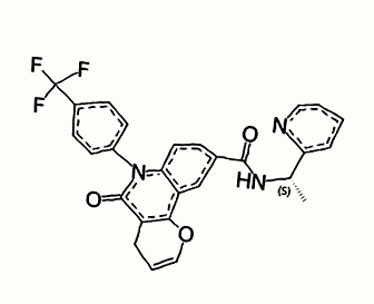 C[C@H](NC(=O)c1ccc2c(c1)c1c(c(=O)n2-c2ccc(C(F)(F)F)cc2)CC=CO1)c1ccccn1